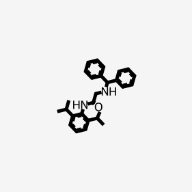 CC(C)c1cccc(C(C)C)c1NC(=O)CNC(c1ccccc1)c1ccccc1